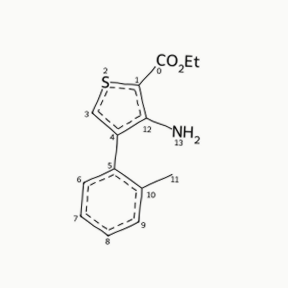 CCOC(=O)c1scc(-c2ccccc2C)c1N